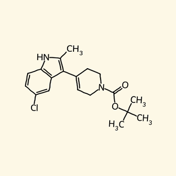 Cc1[nH]c2ccc(Cl)cc2c1C1=CCN(C(=O)OC(C)(C)C)CC1